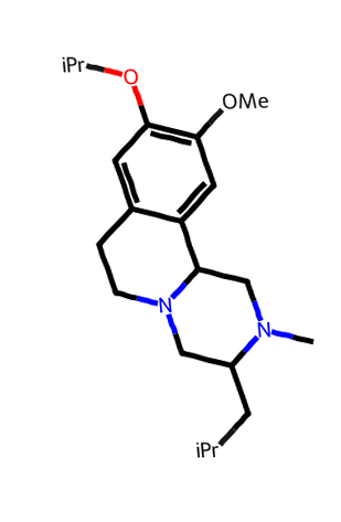 COc1cc2c(cc1OC(C)C)CCN1CC(CC(C)C)N(C)CC21